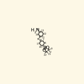 CC1(C)OB(c2ccc(Cc3cccc(N)c3)cc2)OC1(C)C